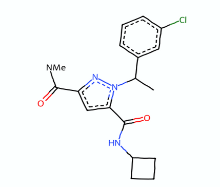 CNC(=O)c1cc(C(=O)NC2CCC2)n(C(C)c2cccc(Cl)c2)n1